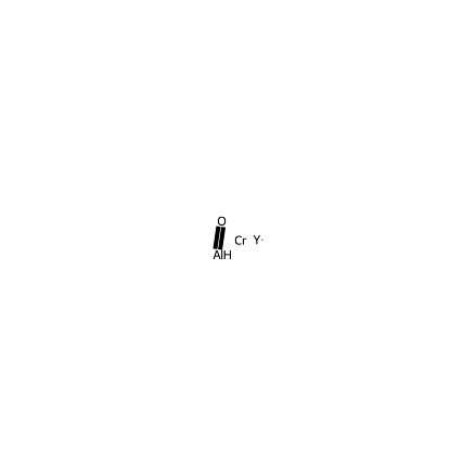 [Cr].[O]=[AlH].[Y]